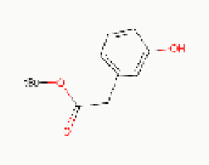 CC(C)(C)OC(=O)Cc1cccc(O)c1